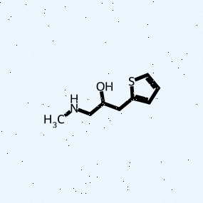 CNCC(O)Cc1cccs1